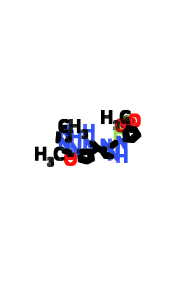 C[C@H](C(=O)Nc1cccc2c(-c3ccnc(CNc4cccc(S(C)(=O)=O)c4F)n3)c[nH]c12)N1CCN(C)CC1